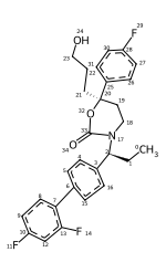 CC[C@@H](c1ccc(-c2ccc(F)cc2F)cc1)N1CC[C@](CCCO)(c2ccc(F)cc2)OC1=O